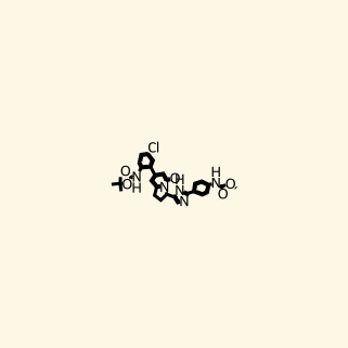 COC(=O)Nc1ccc(-c2ncc(C3CCc4cc(-c5cc(Cl)ccc5NC(=O)OC(C)(C)C)cc(=O)n43)[nH]2)cc1